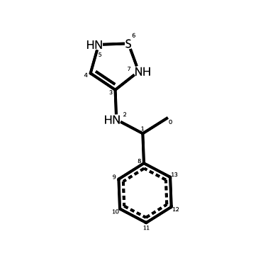 CC(NC1=CNSN1)c1ccccc1